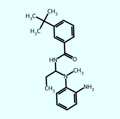 CCC(NC(=O)c1cccc(C(C)(C)C)c1)N(C)c1ccccc1N